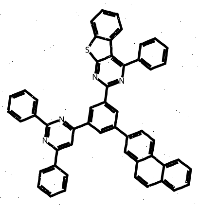 c1ccc(-c2cc(-c3cc(-c4ccc5c(ccc6ccccc65)c4)cc(-c4nc(-c5ccccc5)c5c(n4)sc4ccccc45)c3)nc(-c3ccccc3)n2)cc1